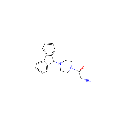 NCC(=O)N1CCN(C2c3ccccc3-c3ccccc32)CC1